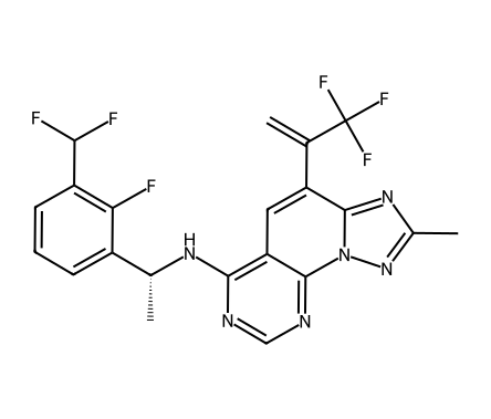 C=C(c1cc2c(N[C@H](C)c3cccc(C(F)F)c3F)ncnc2n2nc(C)nc12)C(F)(F)F